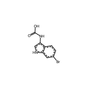 O=C(O)Nc1c[nH]c2cc(Br)ccc12